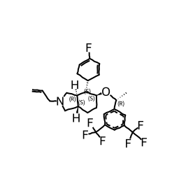 C=CCN1C[C@H]2CC[C@H](O[C@H](C)c3cc(C(F)(F)F)cc(C(F)(F)F)c3)[C@@H](C3C=CC(F)=CC3)[C@@H]2C1